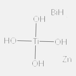 [BiH3].[OH][Ti]([OH])([OH])[OH].[Zn]